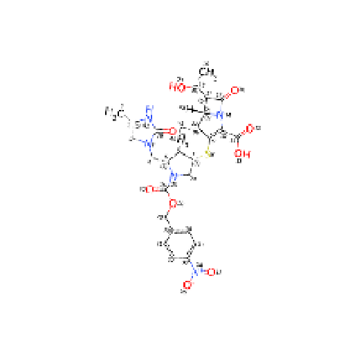 C[C@H]1CN(C[C@@H]2C[C@H](SC3=C(C(=O)O)N4C(=O)[C@H]([C@@H](C)O)[C@H]4[C@H]3C)CN2C(=O)OCc2ccc([N+](=O)[O-])cc2)C(=O)N1